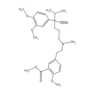 COC(=O)c1cc(CCN(C)CCCC(C#N)(c2ccc(OC)c(OC)c2)C(C)C)ccc1OC